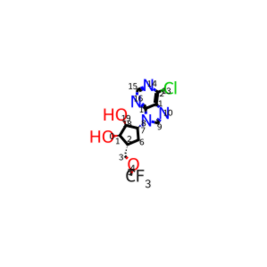 O[C@@H]1[C@@H](COC(F)(F)F)C[C@@H](n2cnc3c(Cl)ncnc32)[C@@H]1O